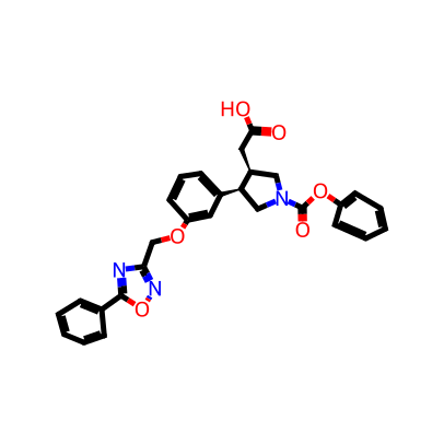 O=C(O)C[C@H]1CN(C(=O)Oc2ccccc2)C[C@H]1c1cccc(OCc2noc(-c3ccccc3)n2)c1